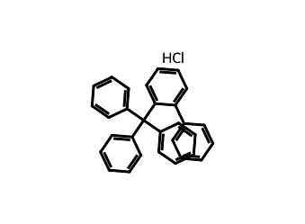 Cl.c1ccc(-c2ccccc2C(c2ccccc2)(c2ccccc2)c2ccccc2)cc1